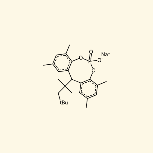 Cc1cc(C)c2c(c1)C(C(C)(C)CC(C)(C)C)c1cc(C)cc(C)c1OP(=O)([O-])O2.[Na+]